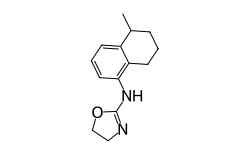 CC1CCCc2c(NC3=NCCO3)cccc21